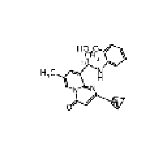 Cc1cc([C@@H](C)Nc2ccccc2C(=O)O)c2nc(N3CC4CC3C4)cc(=O)n2c1